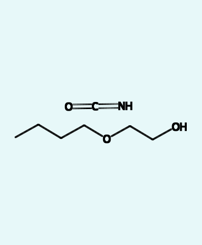 CCCCOCCO.N=C=O